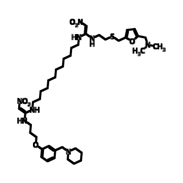 CN(C)Cc1ccc(CSCCN/C(=C/[N+](=O)[O-])NCCCCCCCCCCCCN/C(=C\[N+](=O)[O-])NCCCOc2cccc(CN3CCCCC3)c2)o1